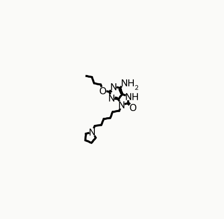 CCCCOc1nc(N)c2[nH]c(=O)n(CCCCCCN3CCCC3)c2n1